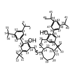 CC(C)c1cc(-c2cc(C(C)(C)C)cc(CSC3CCCCCC[C@@H]3SCc3cc(C(C)(C)C)cc(-c4cc(C(C)C)cc(C(C)C)c4)c3O)c2O)cc(C(C)C)c1